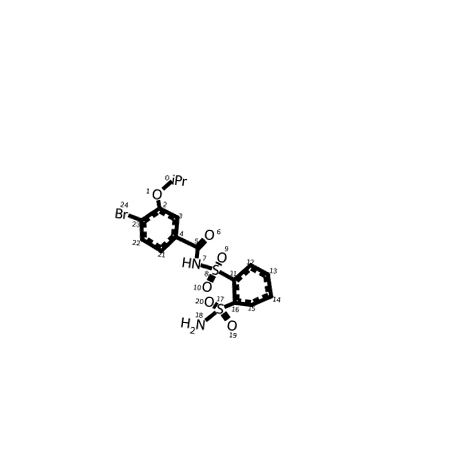 CC(C)Oc1cc(C(=O)NS(=O)(=O)c2ccccc2S(N)(=O)=O)ccc1Br